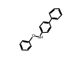 c1ccc(ONc2ccc(-c3ccccc3)cc2)cc1